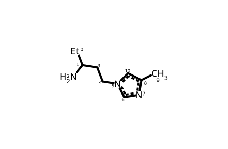 CCC(N)CCn1cnc(C)c1